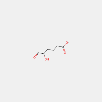 [O]C(=O)CCCC(O)[C]=O